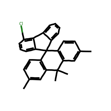 Cc1ccc2c(c1)C(C)(C)c1cc(C)ccc1C21c2ccccc2-c2c(Cl)cccc21